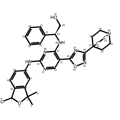 COC1OC(C)(C)c2cc(Nc3ncc(-c4nc(C56CCN(CC5)CC6)no4)c(N[C@H](CO)c4ccccc4)n3)ccc21